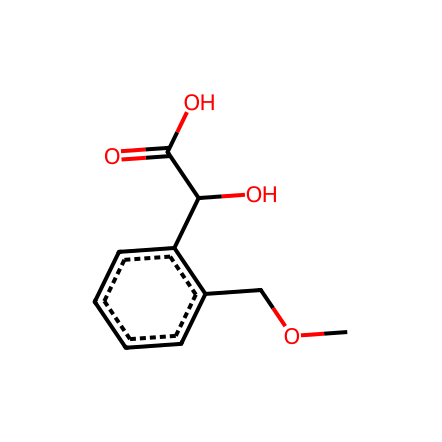 COCc1ccccc1C(O)C(=O)O